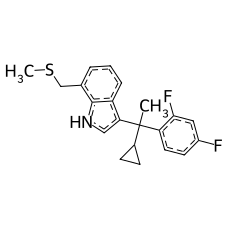 CSCc1cccc2c(C(C)(c3ccc(F)cc3F)C3CC3)c[nH]c12